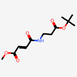 COC(=O)/C=C/C(=O)NCCC(=O)OC(C)(C)C